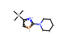 C[Si](C)(C)c1csc(N2CCCCC2)n1